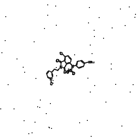 CC(C)(C)c1ccc(N(c2ccc(Cl)c3c2C(=O)N(CCc2ccc[n+]([O-])c2)C3=O)[SH](=O)=O)cc1